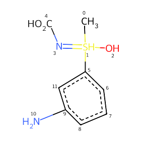 C[SH](O)(=NC(=O)O)c1cccc(N)c1